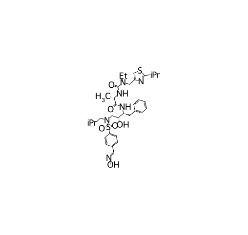 CCN(Cc1csc(C(C)C)n1)C(=O)N[C@@H](C)C(=O)N[C@@H](Cc1ccccc1)[C@H](O)CN(CC(C)C)S(=O)(=O)c1ccc(/C=N/O)cc1